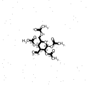 CC(=O)OCC1O[C@@H](OC(C)=O)C(OC(C)=O)C(C=O)[C@@H]1OC(C)=O